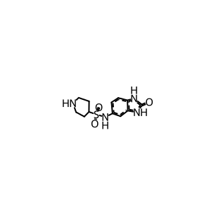 O=c1[nH]c2ccc(NS(=O)(=O)C3CCNCC3)cc2[nH]1